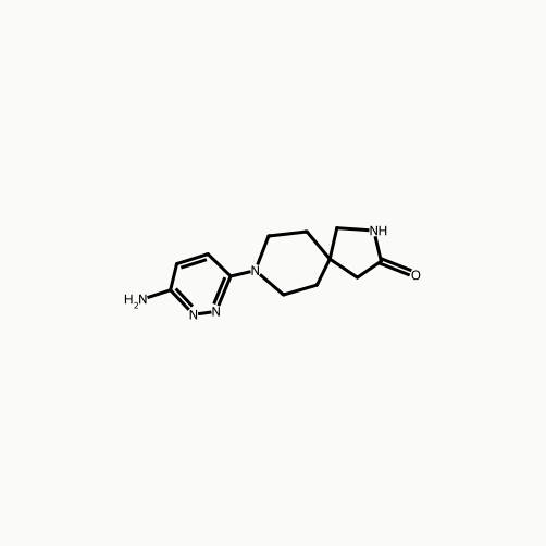 Nc1ccc(N2CCC3(CC2)CNC(=O)C3)nn1